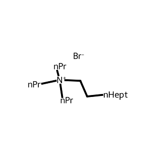 CCCCCCCCC[N+](CCC)(CCC)CCC.[Br-]